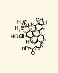 CCCC(=O)c1cnc2ccc(-c3cc(Cl)c(O)c(Cl)c3)cc2c1Nc1ccc(CN(C)C)cc1.Cl.Cl